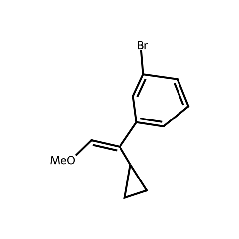 COC=C(c1cccc(Br)c1)C1CC1